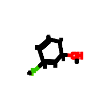 OC1C=C(F)C=CC1